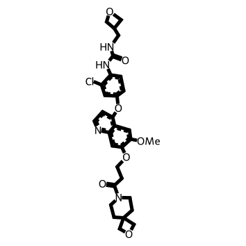 COc1cc2c(Oc3ccc(NC(=O)NCC4COC4)c(Cl)c3)ccnc2cc1OCCC(=O)N1CCC2(CC1)COC2